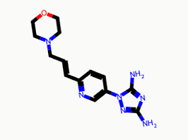 Nc1nc(N)n(-c2ccc(C=CCN3CCOCC3)nc2)n1